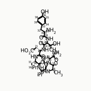 CC[C@H](C)[C@H](NC(=O)[C@H](C)NC(=O)[C@@H](NC(=O)[C@H](CC(C)C)NC(=O)[C@H](CC(=O)O)NC(=O)[C@@H](NC(=O)[C@@H](N)Cc1ccc(O)cc1)[C@@H](C)O)C(C)C)C(N)=O